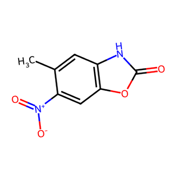 Cc1cc2[nH]c(=O)oc2cc1[N+](=O)[O-]